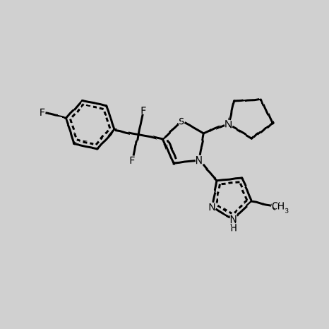 Cc1cc(N2C=C(C(F)(F)c3ccc(F)cc3)SC2N2CCCC2)n[nH]1